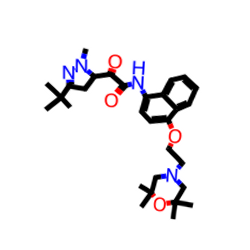 CN1N=C(C(C)(C)C)CC1C(=O)C(=O)Nc1ccc(OCCN2CC(C)(C)OC(C)(C)C2)c2ccccc12